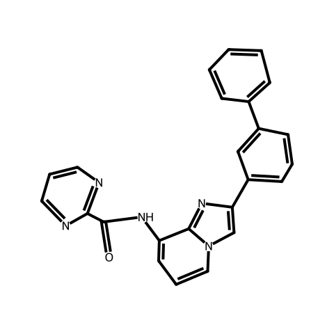 O=C(Nc1cccn2cc(-c3cccc(-c4ccccc4)c3)nc12)c1ncccn1